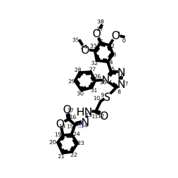 COc1cc(-c2nnc(SCC(=O)N/N=C3\C(=O)Oc4ccccc43)n2-c2ccccc2)cc(OC)c1OC